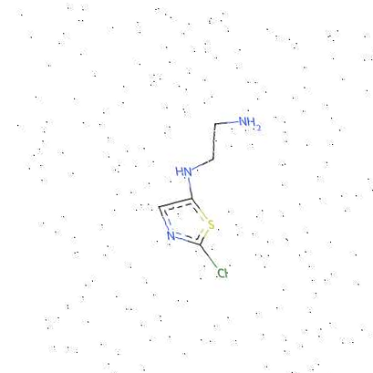 NCCNc1cnc(Cl)s1